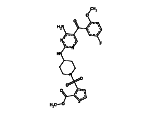 COC(=O)c1sccc1S(=O)(=O)N1CCC(Nc2ncc(C(=O)c3cc(F)ccc3OC)c(N)n2)CC1